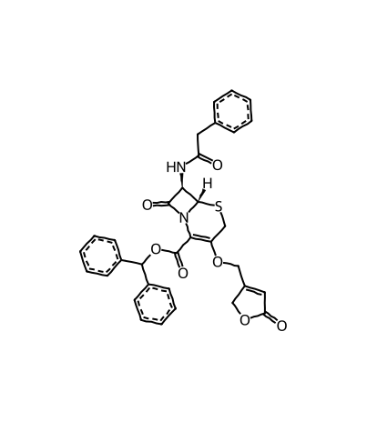 O=C(Cc1ccccc1)N[C@@H]1C(=O)N2C(C(=O)OC(c3ccccc3)c3ccccc3)=C(OCC3=CC(=O)OC3)CS[C@@H]12